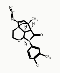 C[C@@]12C[C@H](N=[N+]=[N-])[C@]3(CCO[C@H]4[C@@H]3[C@@H]1C(=O)N4c1ccc(Cl)c(C(F)(F)F)c1)O2